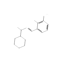 COc1cccc(C=NC(C)C2CCCCC2)c1O